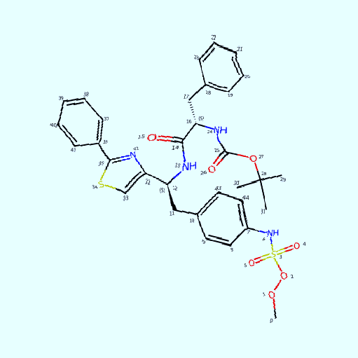 COOS(=O)(=O)Nc1ccc(C[C@H](NC(=O)[C@H](Cc2ccccc2)NC(=O)OC(C)(C)C)c2csc(-c3ccccc3)n2)cc1